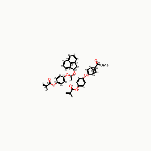 C=C(C)C(=O)Oc1ccc(O)cc1.C=C(C)C(=O)Oc1ccc(OC(C)OC2Cc3cccc4cccc2c34)cc1.COC(=O)C1=CC2C=CC1C2